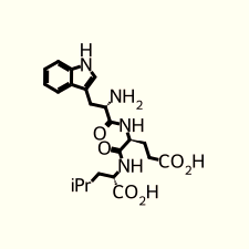 CC(C)C[C@H](NC(=O)[C@H](CCC(=O)O)NC(=O)[C@@H](N)Cc1c[nH]c2ccccc12)C(=O)O